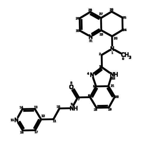 CN(Cc1nc2c(C(=O)NCCc3ccncc3)cccc2[nH]1)C1CCCc2cccnc21